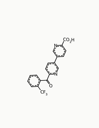 O=C(O)c1ccc(-c2ccc(C(=O)c3ccccc3C(F)(F)F)nc2)cn1